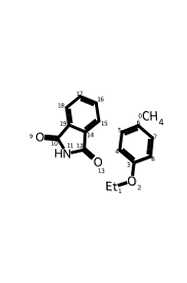 C.CCOc1ccccc1.O=C1NC(=O)c2ccccc21